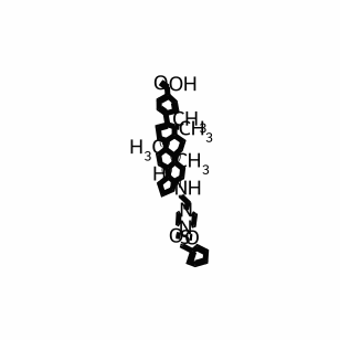 CC1(C)C(c2ccc(C(=O)O)cc2)=CC[C@@]2(C)C1CC[C@@]1(C)C3CC[C@@]4(NCCN5CCN(S(=O)(=O)Cc6ccccc6)CC5)CCCC4[C@H]3CCC12